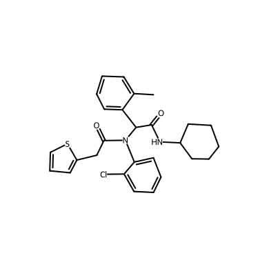 Cc1ccccc1C(C(=O)NC1CCCCC1)N(C(=O)Cc1cccs1)c1ccccc1Cl